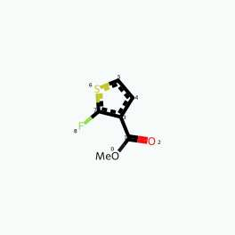 COC(=O)c1c[c]sc1F